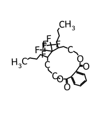 CCCCC1CCCOC(=O)c2ccccc2C(=O)OCCCC(CCCC)C1(C(F)(F)F)C(F)(F)F